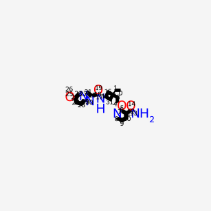 CC[C@]1(CCOc2ncccc2C(N)=O)C[C@H](NC(=O)c2cn3cc(OC)ccc3n2)C1